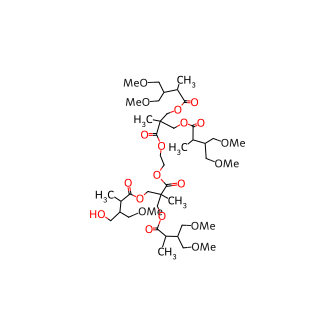 COCC(CO)C(C)C(=O)OCC(C)(COC(=O)C(C)C(COC)COC)C(=O)OCCOC(=O)C(C)(COC(=O)C(C)C(COC)COC)COC(=O)C(C)C(COC)COC